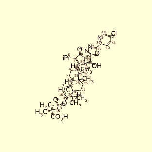 CC(C)C1=C2[C@H]3CC[C@@H]4[C@@]5(C)CC[C@H](OC(=O)CC(C)(C)C(=O)O)C(C)(C)[C@@H]5CC[C@@]4(C)[C@]3(C)CC[C@@]2([C@@H](O)c2nnc(-c3ccc(Cl)cn3)o2)CC1=O